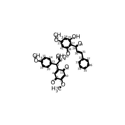 C=CC(C1=CC(=O)C(OC)=CC1=O)c1ccc(OC)cc1.COc1cc(O)c(C(=O)C=Cc2ccccc2)c(OC)c1